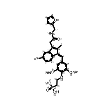 COc1cc(/C=C2/C(C)=C(CC(=O)NCc3ccco3)c3cc(F)ccc32)cc(OC)c1OCCP(=O)(O)O